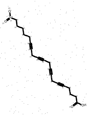 O=C(O)CCCC#CCC#CCC#CCC#CCCCCC[N+](=O)[O-]